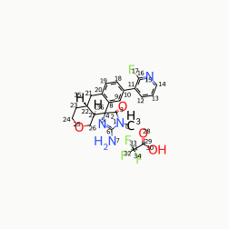 CN1C(=O)C2(N=C1N)c1cc(-c3cccnc3F)ccc1C[C@H]1CCOC[C@@H]12.O=C(O)C(F)(F)F